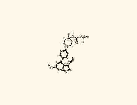 COc1cc(-c2ccc(N3CCC(C)(NC(=O)OC(C)C)CC3)nc2)c2c(C#N)cnn2c1